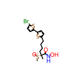 C[S+]([O-])C(C)(CCCCc1ccc(-c2ccc(Br)s2)s1)C(=O)NO